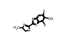 CC1CSC(c2nc3cc(F)c(O)c(F)c3s2)=N1